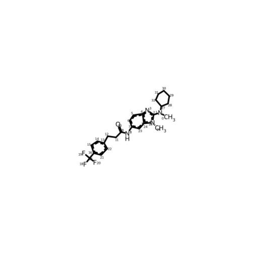 CN(c1nc2ccc(NC(=O)CCc3ccc(C(F)(F)F)cc3)cc2n1C)C1CCCCC1